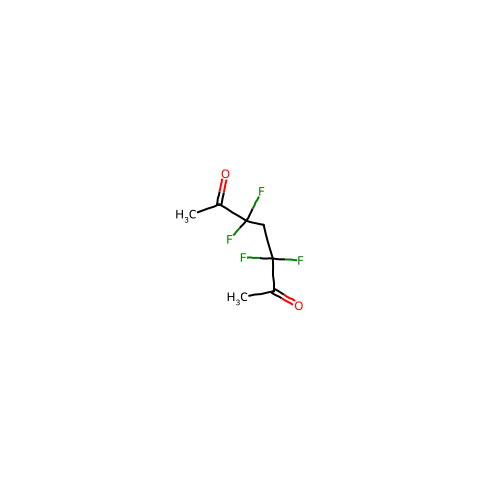 CC(=O)C(F)(F)CC(F)(F)C(C)=O